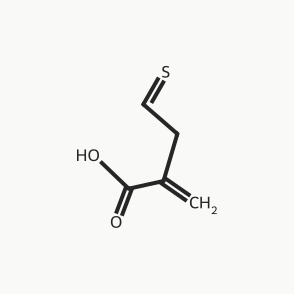 C=C(CC=S)C(=O)O